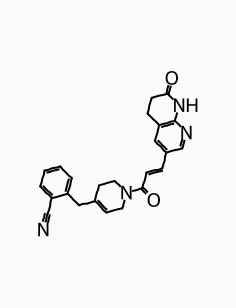 N#Cc1ccccc1CC1=CCN(C(=O)C=Cc2cnc3c(c2)CCC(=O)N3)CC1